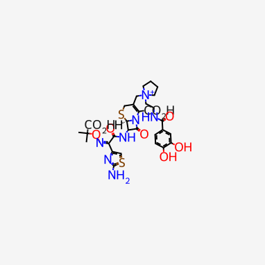 CC(C)(O/N=C(\C(=O)N[C@@H]1C(=O)N2C(C(=O)O)=C(C[N+]3(CCNC(=O)c4ccc(O)c(O)c4)CCCC3)CS[C@H]12)c1csc(N)n1)C(=O)O